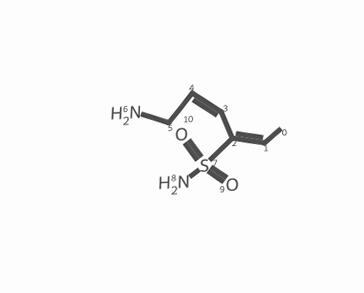 C/C=C(\C=C/CN)S(N)(=O)=O